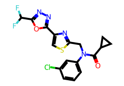 O=C(C1CC1)N(Cc1nc(-c2nnc(C(F)F)o2)cs1)c1cccc(Cl)c1